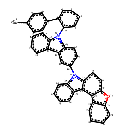 CC(C)(C)c1ccc(-c2ccccc2-n2c3ccccc3c3cc(-n4c5ccccc5c5c6c(ccc54)oc4ccccc46)ccc32)cc1